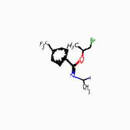 CC(I)/N=C(\OC(C)CBr)c1ccc(C(F)(F)F)cc1